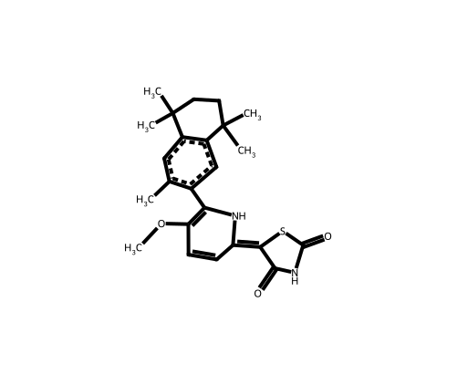 COC1=C(c2cc3c(cc2C)C(C)(C)CCC3(C)C)NC(=C2SC(=O)NC2=O)C=C1